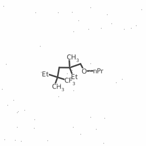 CCCOCC(C)(CC)CC(C)(CC)C(F)(F)F